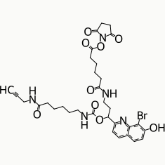 C#CCNC(=O)CCCCCNC(=O)OC(CCNC(=O)CCCCC(=O)ON1C(=O)CCC1=O)c1ccc2ccc(O)c(Br)c2n1